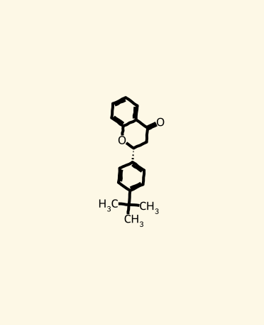 CC(C)(C)c1ccc([C@H]2CC(=O)c3ccccc3O2)cc1